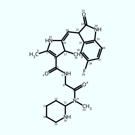 CC1=C(C(=O)NCC(=O)N(C)C2CCCCN2)C(C)C(=CC2C(=O)Nc3ccc(F)cc32)N1